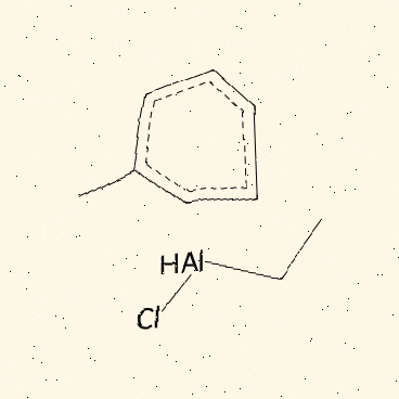 C[CH2][AlH][Cl].Cc1ccccc1